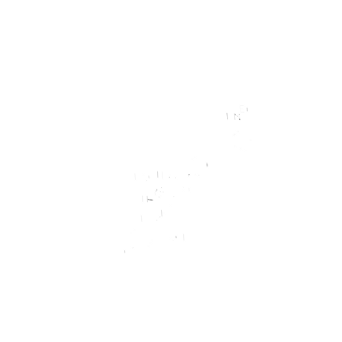 CCNc1cccc(SCc2ccc([C@@H]3O[C@@H]4C[C@H]5[C@@H]6CCC7=CC(=O)C=C[C@]7(C)[C@@]6(F)[C@@H](O)C[C@]5(C)[C@]4(C(=O)CO)O3)cc2)c1